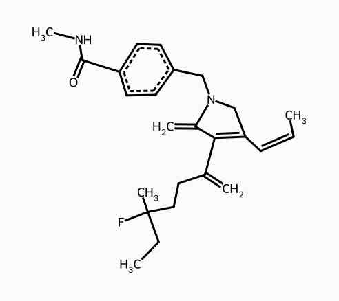 C=C(CCC(C)(F)CC)C1=C(/C=C\C)CN(Cc2ccc(C(=O)NC)cc2)C1=C